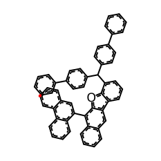 c1ccc(-c2ccc(C(c3ccc(-c4ccccc4)cc3)c3cccc4c3oc3c(-c5cc6ccccc6c6ccccc56)c5ccccc5cc34)cc2)cc1